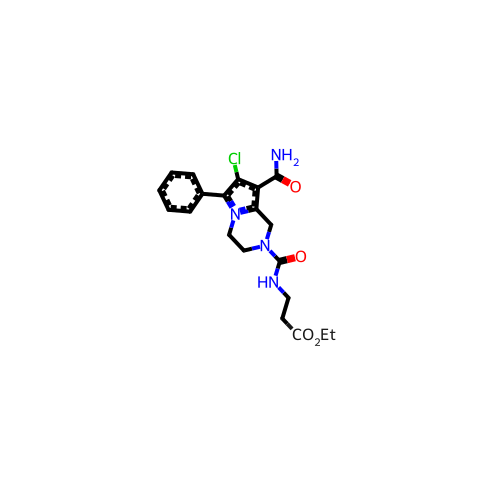 CCOC(=O)CCNC(=O)N1CCn2c(c(C(N)=O)c(Cl)c2-c2ccccc2)C1